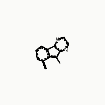 C=c1cccc2c1=C(C)c1nccnc1-2